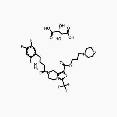 N[C@@H](CC(=O)N1CCn2c(C(F)(F)F)nc(C(=O)OCCCN3CCOCC3)c2C1)Cc1cc(F)c(F)cc1F.O=C(O)[C@H](O)[C@@H](O)C(=O)O